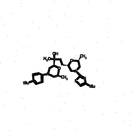 C[C@@H]1CN(c2nc(C(C)(C)C)cs2)C[C@H](CCC(C)(O)[C@@H]2CN(c3ccc(C(C)(C)C)cc3)C[C@H](C)O2)O1